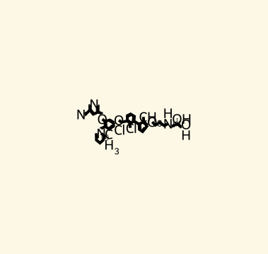 Cc1c(OCCCNC[C@H](O)CO)cccc1-c1cccc(COc2cc(OCc3cncc(C#N)c3)c(CN3CCCC[C@H]3C)cc2Cl)c1Cl